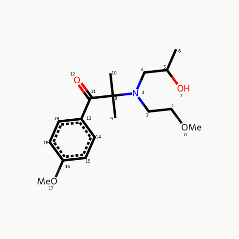 COCCN(CC(C)O)C(C)(C)C(=O)c1ccc(OC)cc1